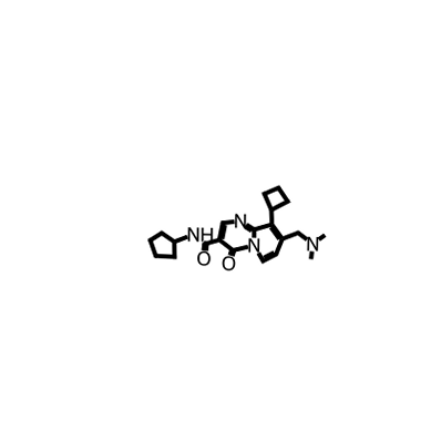 CN(C)Cc1ccn2c(=O)c(C(=O)NC3CCCC3)cnc2c1C1CCC1